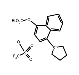 CCOC(=O)Oc1ccc([S+]2CCCC2)c2ccccc12.O=S(=O)([O-])C(F)(F)F